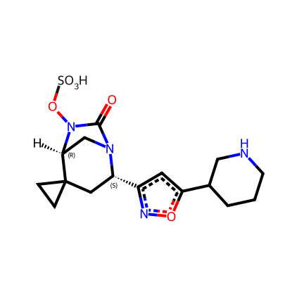 O=C1N2C[C@H](N1OS(=O)(=O)O)C1(CC1)C[C@H]2c1cc(C2CCCNC2)on1